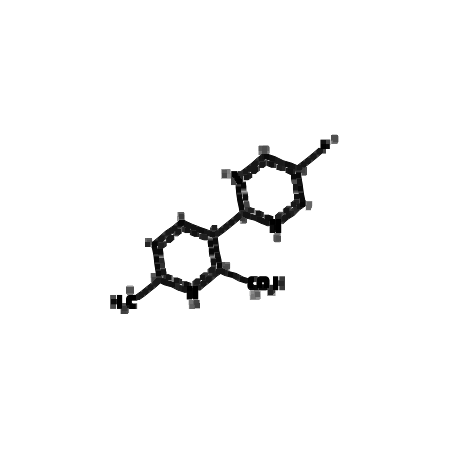 Cc1ccc(-c2ncc(F)cn2)c(C(=O)O)n1